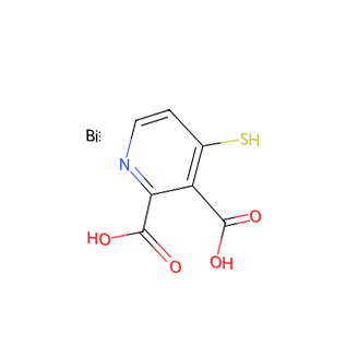 O=C(O)c1nccc(S)c1C(=O)O.[Bi]